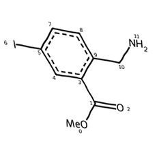 COC(=O)c1cc(I)ccc1CN